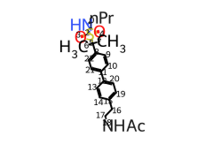 CCCNS(=O)(=O)C(C)(C)c1ccc(-c2ccc(CCNC(C)=O)cc2)cc1